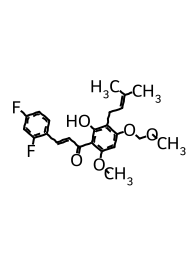 COCOc1cc(OC)c(C(=O)C=Cc2ccc(F)cc2F)c(O)c1CC=C(C)C